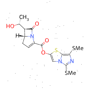 CSc1nc(SC)n2cc(OC(=O)C3=CC[C@@H]4[C@@H]([C@@H](C)O)C(=O)N34)sc12